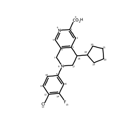 O=C(O)c1cc2c(cn1)CN(c1ccc(Cl)c(F)c1)CC2C1CCCC1